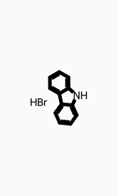 Br.c1ccc2c(c1)[nH]c1ccccc12